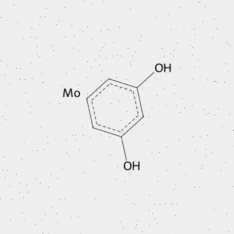 Oc1cccc(O)c1.[Mo]